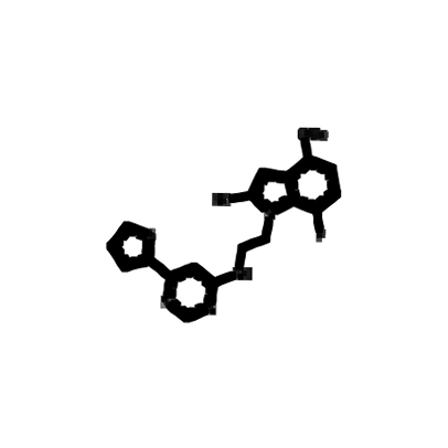 COc1ccc(F)c2c1cc(C#N)n2CCNc1cc(-c2cccs2)ncn1